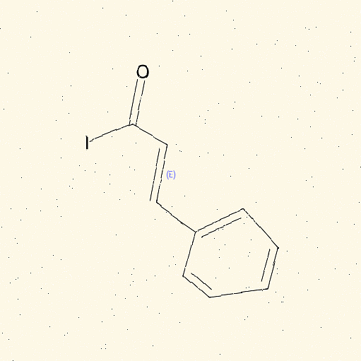 O=C(I)/C=C/c1ccccc1